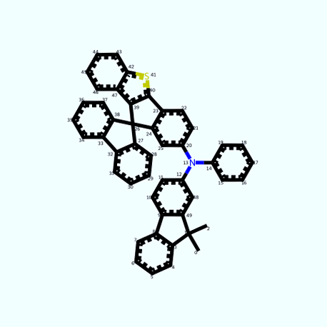 CC1(C)c2ccccc2-c2ccc(N(c3ccccc3)c3ccc4c(c3)C3(c5ccccc5-c5ccccc53)c3c-4sc4ccccc34)cc21